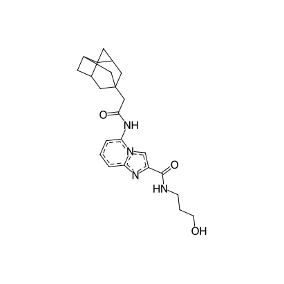 O=C(CC12CC3CC(C1)C31CC1C2)Nc1cccc2nc(C(=O)NCCCO)cn12